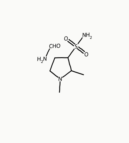 CC1C(S(N)(=O)=O)CCN1C.NC=O